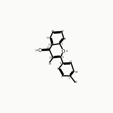 Cc1ccc(-c2oc3ccccc3c(=O)c2C)cc1